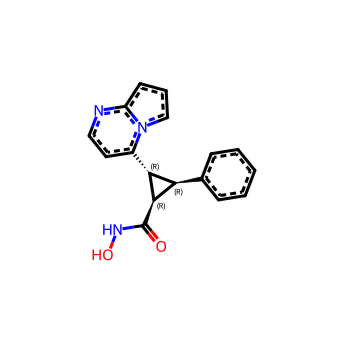 O=C(NO)[C@@H]1[C@H](c2ccccc2)[C@H]1c1ccnc2cccn12